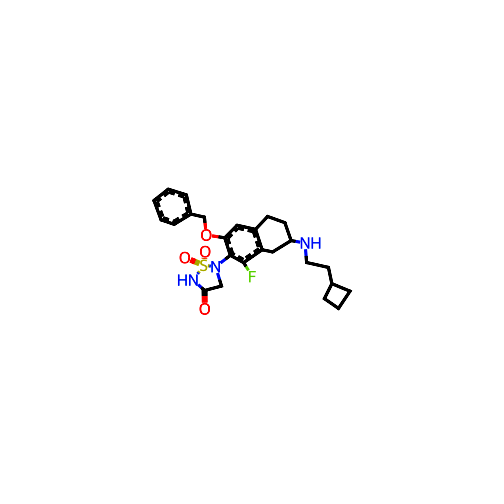 O=C1CN(c2c(OCc3ccccc3)cc3c(c2F)CC(NCCC2CCC2)CC3)S(=O)(=O)N1